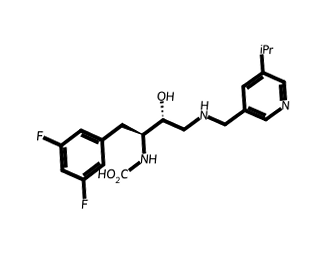 CC(C)c1cncc(CNC[C@@H](O)[C@H](Cc2cc(F)cc(F)c2)NC(=O)O)c1